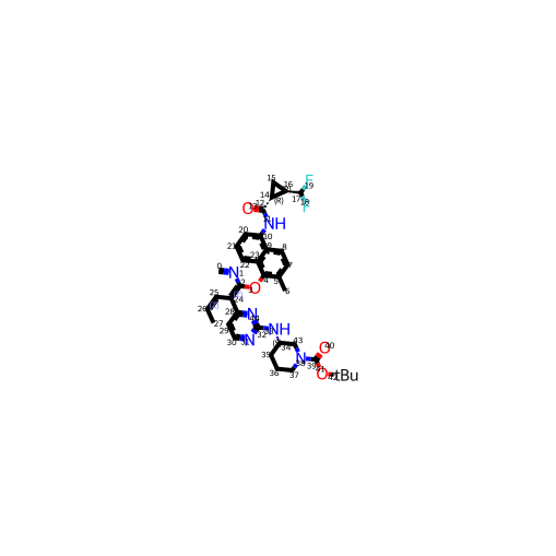 C=N/C(Oc1c(C)ccc2c(NC(=O)[C@@H]3C[C@H]3C(F)F)cccc12)=C(\C=C/C)c1ccnc(N[C@H]2CCCN(C(=O)OC(C)(C)C)C2)n1